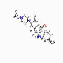 Cc1cc2c(cc1N1CCN(C3CC3)CC1)C(C)(C)c1[nH]c3cc(C#N)ccc3c1C2=O